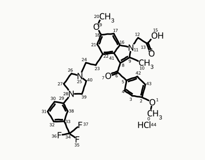 COc1ccc(C(=O)c2c(C)n(CC(=O)O)c3cc(OC)cc(CCN4CCN(c5cccc(C(F)(F)F)c5)CC4)c23)cc1.Cl